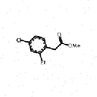 CCc1cc(Cl)ccc1CC(=O)OC